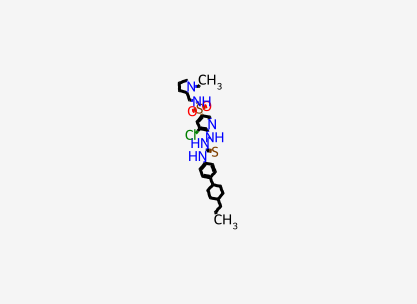 CCCC1CCC(c2ccc(NC(=S)NNc3ncc(S(=O)(=O)NCC4CCCN4CC)cc3Cl)cc2)CC1